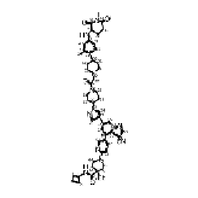 CCC1(C(=O)NC2CCC2)CCN(c2ccc(-c3cc(-c4cnn(C5CCN(C(=O)CN6CCC(c7ccc(NC8CCC(=O)NC8=O)cc7F)CC6)CC5)c4)cn4ncc(C#N)c34)cn2)CC1